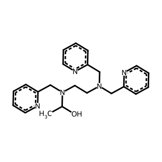 CC(O)N(CCN(Cc1ccccn1)Cc1ccccn1)Cc1ccccn1